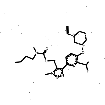 C=C[C@H]1CCC[C@H](Oc2ccc(-c3nnn(C)c3COC(=O)N(C)CCCC)nc2C(F)F)C1